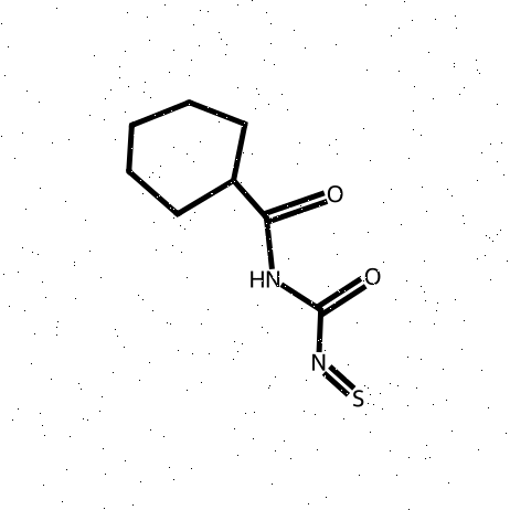 O=C(N=S)NC(=O)C1CCCCC1